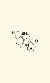 BC1(C)CCCC2C1CC1(COC1)N2C